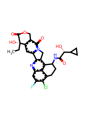 CC[C@@]1(O)C(=O)OCc2c1cc1n(c2=O)Cc2c-1nc1cc(F)c(Cl)c3c1c2C(NC(=O)[C@H](O)C1CC1)CC3